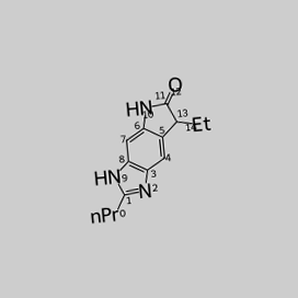 CCCc1nc2cc3c(cc2[nH]1)NC(=O)C3CC